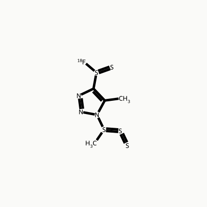 Cc1c(S([18F])=S)nnn1S(C)=S=S